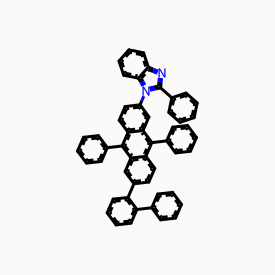 c1ccc(-c2ccccc2-c2ccc3c(-c4ccccc4)c4cc(-n5c(-c6ccccc6)nc6ccccc65)ccc4c(-c4ccccc4)c3c2)cc1